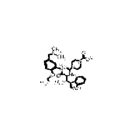 CCOc1ccc(CN(C)C)cc1NC(=O)[C@H](NC(=O)N1CCN(C(=O)O)CC1)[C@@H](C)c1c[nH]c2ccccc12